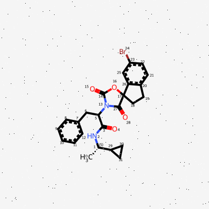 C[C@H](NC(=O)C(Cc1ccccc1)N1C(=O)OC2(CCc3ccc(Br)cc32)C1=O)C1CC1